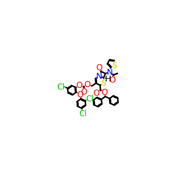 CC(=O)N(c1cccs1)C1C(=O)N2C=C(COC(=O)Oc3cc(Cl)ccc3Oc3ccc(Cl)cc3Cl)C(C(=O)OC(c3ccccc3)c3ccccc3)S[C@H]12